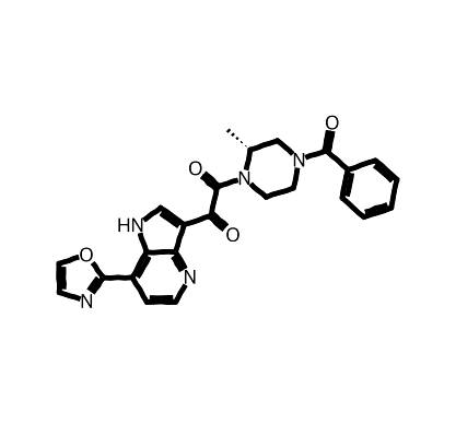 C[C@@H]1CN(C(=O)c2ccccc2)CCN1C(=O)C(=O)c1c[nH]c2c(-c3ncco3)ccnc12